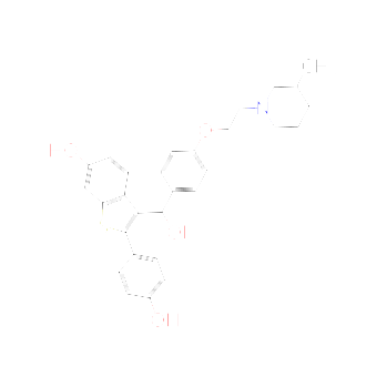 CC1CCCN(CCOc2ccc(C(O)c3c(-c4ccc(O)cc4)sc4cc(O)ccc34)cc2)C1